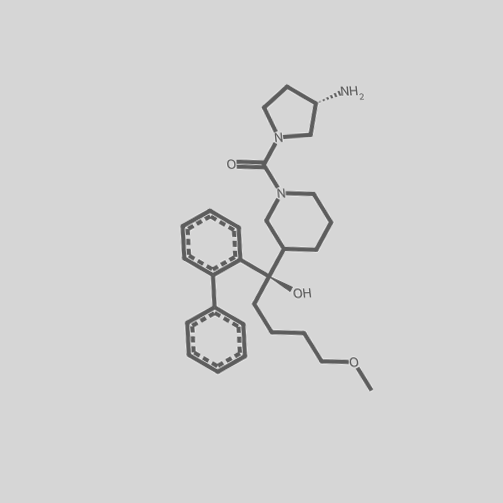 COCCCC[C@](O)(c1ccccc1-c1ccccc1)C1CCCN(C(=O)N2CC[C@H](N)C2)C1